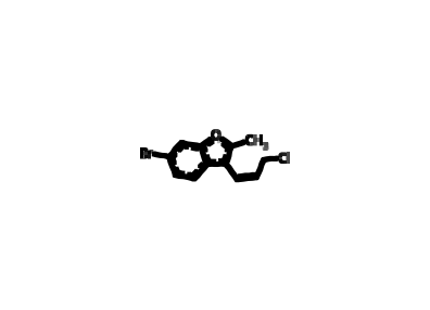 Cc1oc2cc(Br)ccc2c1/C=C\CCl